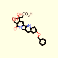 CCC(O)(CC(=O)O)c1cc2n(c(=O)c1CO)Cc1cc3cc(OCc4ccccc4)ccc3nc1-2